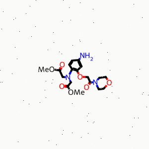 COC(=O)CN(CC(=O)OC)c1ccc(N)cc1OCC(=O)N1CCOCC1